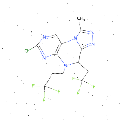 Cc1nnc2n1-c1cnc(Cl)nc1N(CCC(F)(F)F)C2CC(F)(F)F